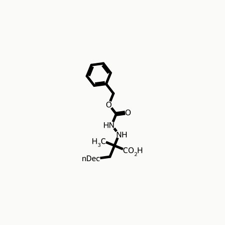 CCCCCCCCCCCC(C)(NNC(=O)OCc1ccccc1)C(=O)O